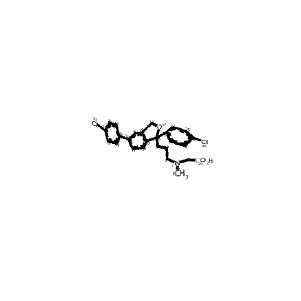 CN(CCCC1(c2ccc(Cl)cc2)OCc2cc(-c3ccc(Cl)cc3)ccc21)CC(=O)O